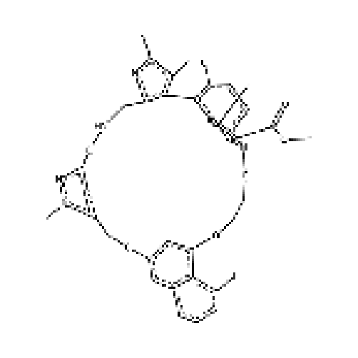 COC(=O)c1c(C)c2c3c(Cl)ccc2n1CCCOc1cc(cc2cccc(F)c12)CCc1cc(nn1C)CNCc1nn(C)c(C)c1-3